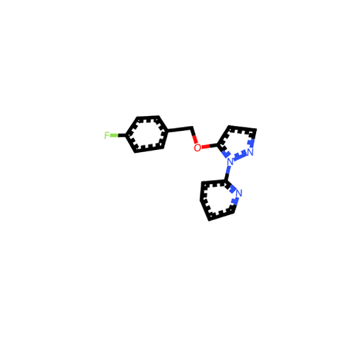 Fc1ccc(COc2ccnn2-c2ccccn2)cc1